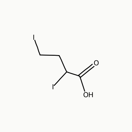 O=C(O)C(I)CCI